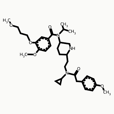 COCCCOc1cc(C(=O)N(C(C)C)C2CCC(CCN(C(=O)Cc3ccc(OC)cc3)C3CC3)NC2)ccc1OC